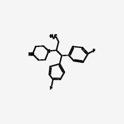 [CH2]CC(C(c1ccc(F)cc1)c1ccc(F)cc1)N1CCNCC1